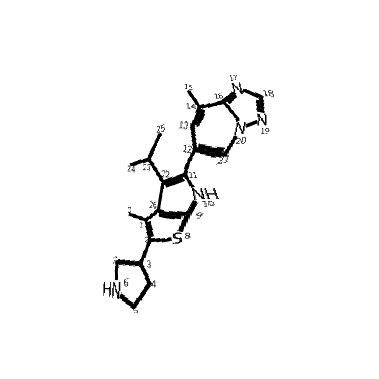 Cc1c(C2CCNC2)sc2[nH]c(-c3cc(C)c4ncnn4c3)c(C(C)C)c12